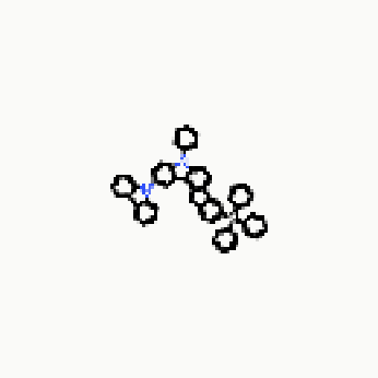 c1ccc(-n2c3ccc(-n4c5ccccc5c5ccccc54)cc3c3c4c(ccc32)-c2cc([Si](c3ccccc3)(c3ccccc3)c3ccccc3)ccc2C4)cc1